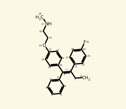 CC/C(=C(\c1ccccc1)c1ccc(OCCNC)cc1)c1ccc(F)cc1